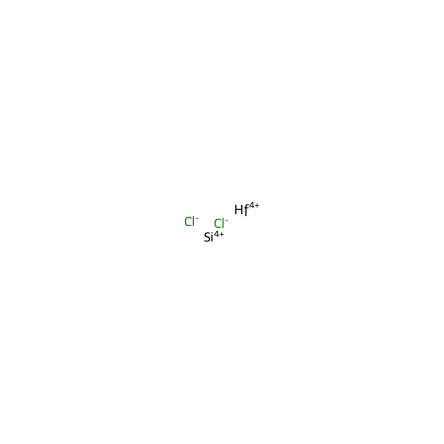 [Cl-].[Cl-].[Hf+4].[Si+4]